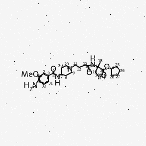 COc1cc(C(=O)NC2CCN(CCCC(=O)NC(C)(CC(C)C)C(=O)OC3CCCC3)CC2)ccc1N